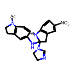 CC(=O)N1CCc2cc(NC3(N4C=NCC4)Cc4cc([N+](=O)[O-])ccc4N3C(C)=O)ccc21